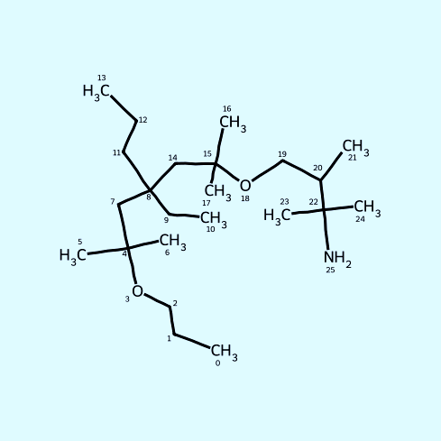 CCCOC(C)(C)CC(CC)(CCC)CC(C)(C)OCC(C)C(C)(C)N